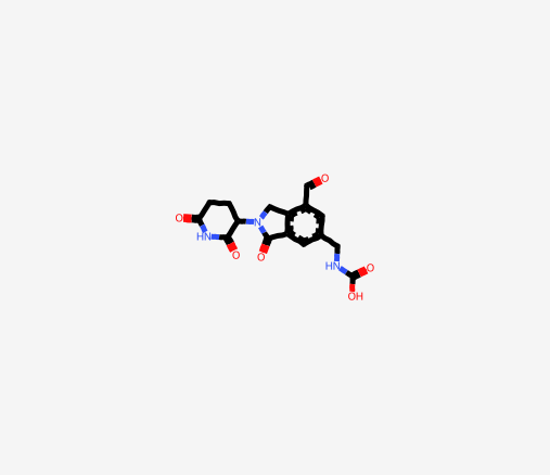 O=Cc1cc(CNC(=O)O)cc2c1CN(C1CCC(=O)NC1=O)C2=O